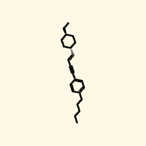 CCCCCc1ccc(C#CC=C[C@H]2CC[C@H](CC)CC2)cc1